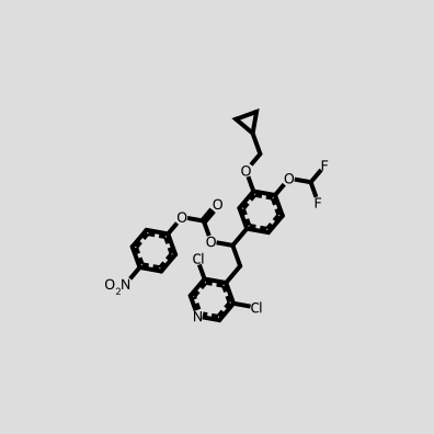 O=C(Oc1ccc([N+](=O)[O-])cc1)OC(Cc1c(Cl)cncc1Cl)c1ccc(OC(F)F)c(OCC2CC2)c1